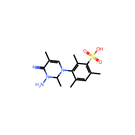 CC1=CN(c2c(C)cc(C)c(S(=O)(=O)O)c2C)C(C)N(N)C1=[N]